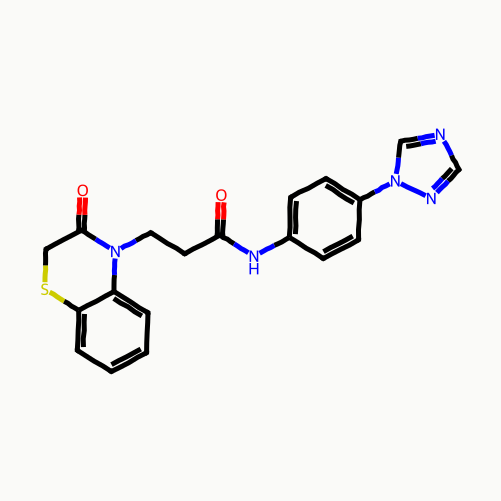 O=C(CCN1C(=O)CSc2ccccc21)Nc1ccc(-n2cncn2)cc1